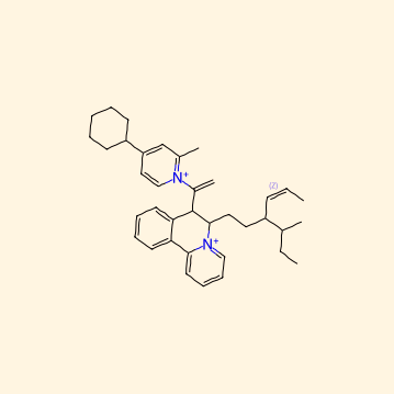 C=C(C1c2ccccc2-c2cccc[n+]2C1CCC(/C=C\C)C(C)CC)[n+]1ccc(C2CCCCC2)cc1C